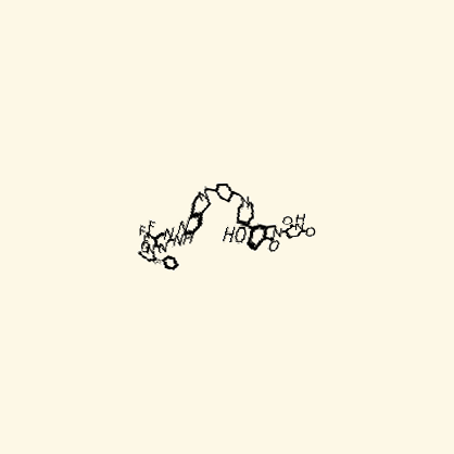 O=C1CCC(N2Cc3cc(C4(O)CCN(CC5CCC(CN6CCc7nc(Nc8ncc(C(F)(F)F)c(N9OCC[C@H]9c9ccccc9)n8)ccc7C6)CC5)CC4)ccc3C2=O)C(=O)N1